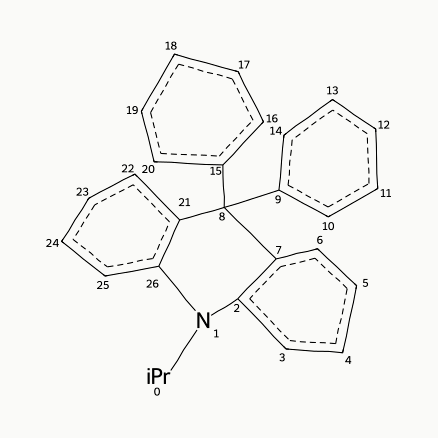 CC(C)N1c2ccccc2C(c2ccccc2)(c2ccccc2)c2ccccc21